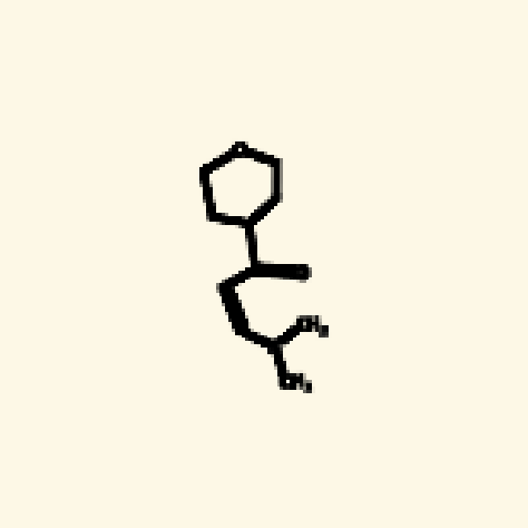 CN(C)/C=C\C(=O)C1CCOCC1